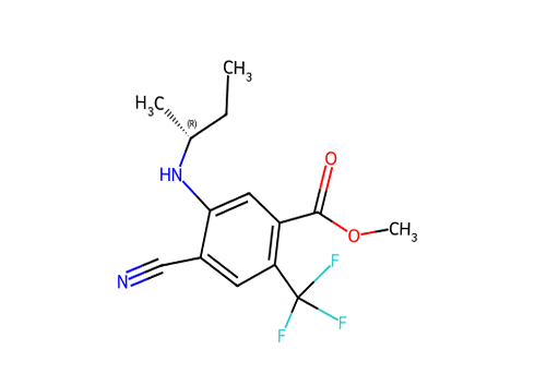 CC[C@@H](C)Nc1cc(C(=O)OC)c(C(F)(F)F)cc1C#N